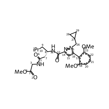 COC(=O)CNC(=O)C[C@H](CC(C)C)NC(=O)c1cc(-c2c(OC)cccc2OC)n(CC2CC2)n1